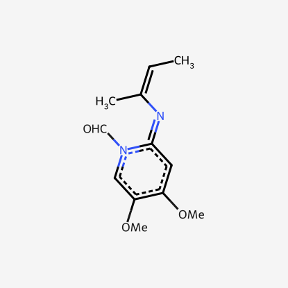 C/C=C(C)\N=c1\cc(OC)c(OC)cn1C=O